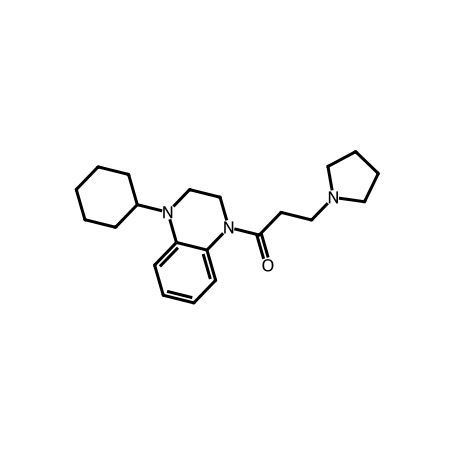 O=C(CCN1CCCC1)N1CCN(C2CCCCC2)c2ccccc21